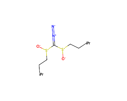 CC(C)CC[S+]([O-])C(=[N+]=[N-])[S+]([O-])CCC(C)C